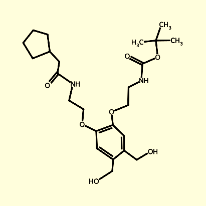 CC(C)(C)OC(=O)NCCOc1cc(CO)c(CO)cc1OCCNC(=O)CC1CCCC1